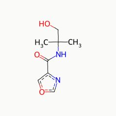 CC(C)(CO)NC(=O)c1cocn1